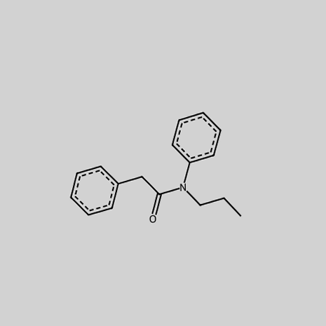 CCCN(C(=O)Cc1ccccc1)c1ccccc1